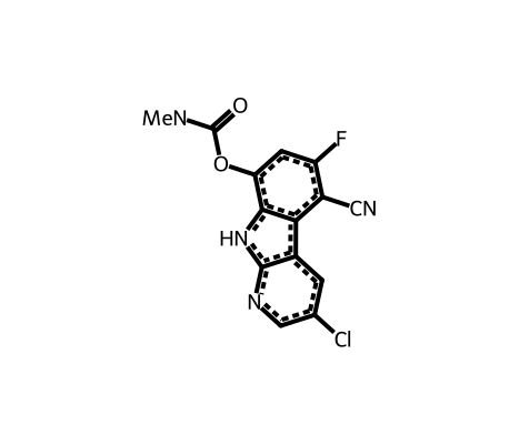 CNC(=O)Oc1cc(F)c(C#N)c2c1[nH]c1ncc(Cl)cc12